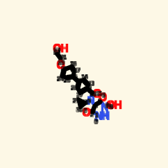 CNC(=O)C(C(=O)NO)N(C(=O)c1ccc(-c2ccc(OCCO)cc2)cc1)C1CC1